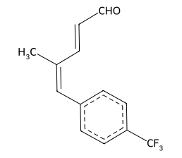 CC(C=CC=O)=Cc1ccc(C(F)(F)F)cc1